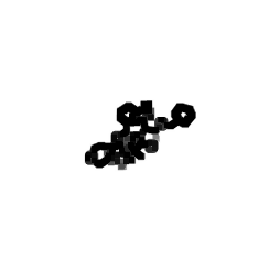 C[C@@H](OCc1ccccc1)[C@@H](NC(=O)C(C)(C)N)c1nnc2cccc(COC(=O)N3CCOCC3)n12